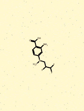 CN(CC(F)C(F)F)c1ccc(C(=O)O)c(N)c1